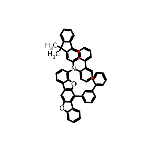 CC1(C)c2ccccc2-c2ccc(N(c3ccccc3-c3ccccc3)c3cccc4c3oc3c(-c5cccc(-c6ccccc6)c5)c5c(cc34)oc3ccccc35)cc21